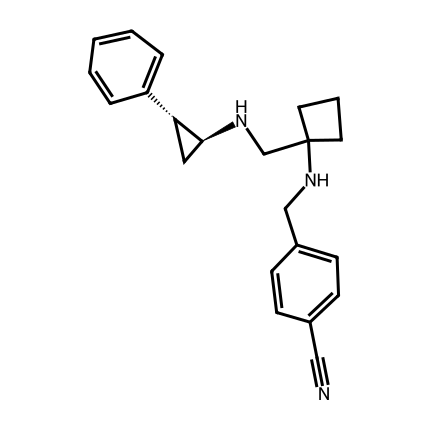 N#Cc1ccc(CNC2(CN[C@H]3C[C@@H]3c3ccccc3)CCC2)cc1